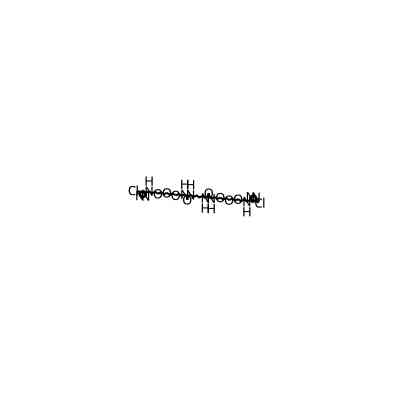 O=C(NCCCCNC(=O)NCCOCCOCCOCCNc1cc(Cl)ncn1)NCCOCCOCCOCCNc1cc(Cl)ncn1